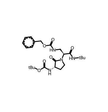 CC(C)(C)NC(=O)[C@H](CNC(=O)OCc1ccccc1)N1CC[C@H](NC(=O)OC(C)(C)C)C1=O